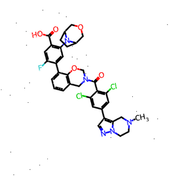 CN1CCn2ncc(-c3cc(Cl)c(C(=O)N4COc5c(cccc5-c5cc(N6C7CCC6COC7)c(C(=O)O)cc5F)C4)c(Cl)c3)c2C1